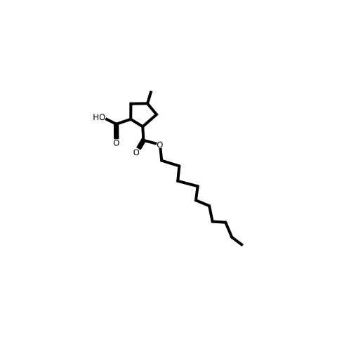 CCCCCCCCCCOC(=O)C1CC(C)CC1C(=O)O